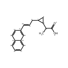 CC(C(=O)O)C1CC1CC=Cc1ccc2ccccc2c1